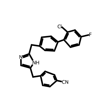 N#Cc1ccc(Cc2cnc(Cc3ccc(-c4ccc(F)cc4Cl)cc3)[nH]2)cc1